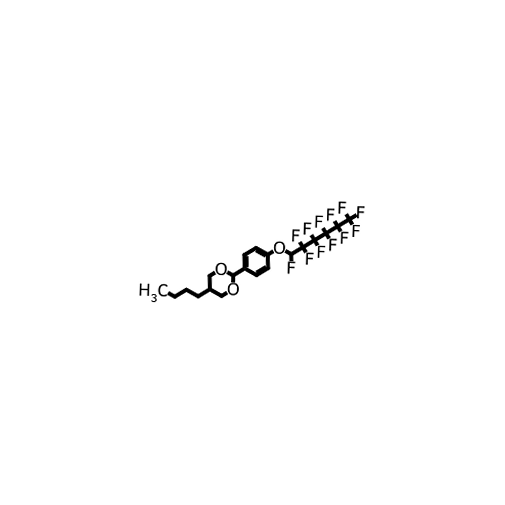 CCCCC1COC(c2ccc(OC(F)C(F)(F)C(F)(F)C(F)(F)C(F)(F)C(F)(F)F)cc2)OC1